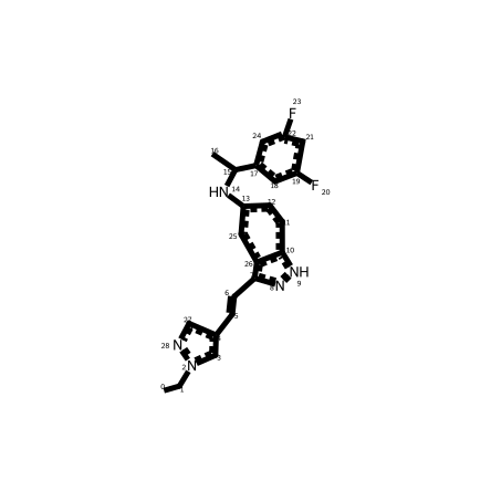 CCn1cc(/C=C/c2n[nH]c3ccc(NC(C)c4cc(F)cc(F)c4)cc23)cn1